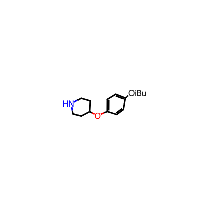 CC(C)COc1ccc(OC2CCNCC2)cc1